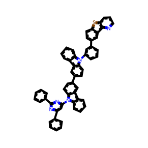 c1ccc(-c2cc(-n3c4ccccc4c4cc(-c5ccc6c(c5)c5ccccc5n6-c5cccc(-c6ccc7sc8cccnc8c7c6)c5)ccc43)nc(-c3ccccc3)n2)cc1